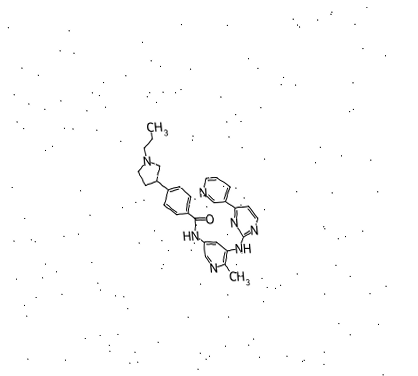 CCCN1CCC(c2ccc(C(=O)Nc3cnc(C)c(Nc4nccc(-c5cccnc5)n4)c3)cc2)C1